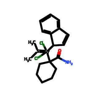 C[Si](C)=[Zr]([Cl])([Cl])([CH]1C=Cc2ccccc21)[C]1(C(N)=O)CCCCC1